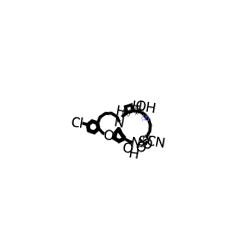 N#C[C@@H]1CC/C=C\[C@H](O)[C@@H]2CC[C@H]2CN2CCCCc3cc(Cl)ccc3COc3ccc(cc32)C(=O)NS1(=O)=O